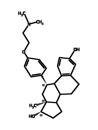 CN(C)CCOc1ccc([C@H]2C[C@@]3(C)C(CC[C@@H]3O)C3CCc4cc(O)ccc4C32)cc1